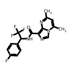 Cc1cc(C)n2cnc(C(=O)NC(c3ccc(F)cc3)C(F)(F)F)c2n1